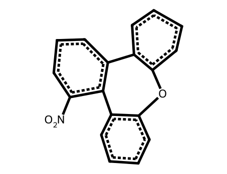 O=[N+]([O-])c1cccc2c1-c1ccccc1Oc1ccccc1-2